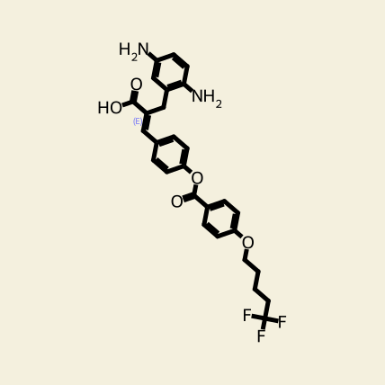 Nc1ccc(N)c(C/C(=C\c2ccc(OC(=O)c3ccc(OCCCCC(F)(F)F)cc3)cc2)C(=O)O)c1